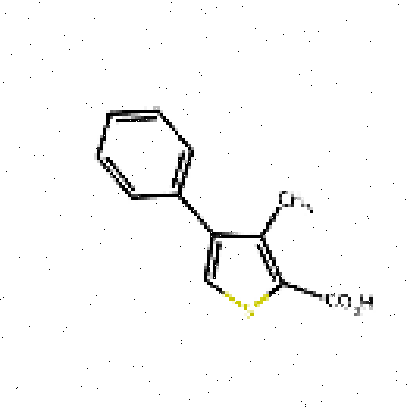 Cc1c(-c2ccccc2)csc1C(=O)O